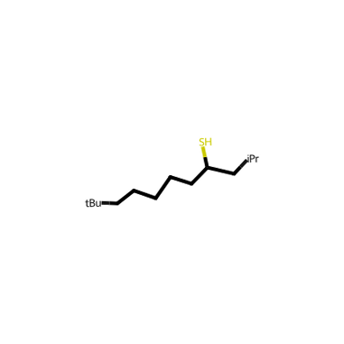 CC(C)CC(S)CCCCCC(C)(C)C